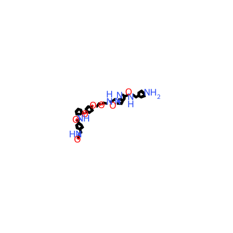 Nc1ccc(CCNC(=O)c2cnc3c(ccn3CC(=O)NCCOCCOc3ccc(Oc4ccccc4NC(=O)c4ccc(CNC=O)cc4)cc3)c2)cc1